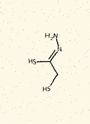 NN=C(S)CS